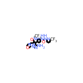 Nc1ncnn2c(CN3CCOCC3)c(C(=O)NCC(F)(F)F)c(-c3ccc(NC(=O)Nc4cccc(C(F)(F)F)n4)cc3)c12